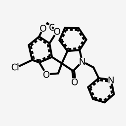 O=C1N(Cc2ccccn2)c2ccccc2C12COc1c(Cl)cc3c(c12)OCCO3